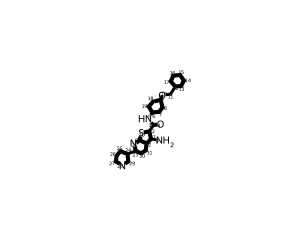 Nc1c(C(=O)Nc2ccc(OCc3ccccc3)cc2)sc2nc(-c3cccnc3)ccc12